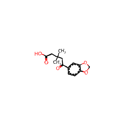 CC(C)(CC(=O)O)CC(=O)c1ccc2c(c1)OCO2